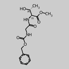 COC(=O)[C@@H](NC(=O)CNC(=O)OCc1ccccc1)[C@@H](C)O